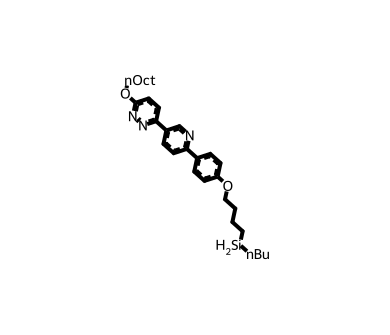 CCCCCCCCOc1ccc(-c2ccc(-c3ccc(OCCCC[SiH2]CCCC)cc3)nc2)nn1